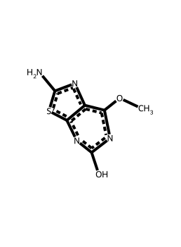 COc1nc(O)nc2sc(N)nc12